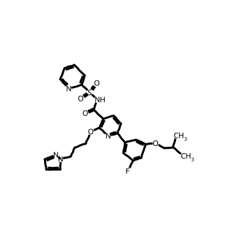 CC(C)COc1cc(F)cc(-c2ccc(C(=O)NS(=O)(=O)c3ccccn3)c(OCCCn3cccn3)n2)c1